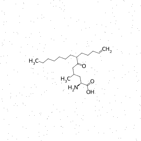 C=CCCCC(CCCCCCC)C(=O)CC(C)C[C@H](N)C(=O)O